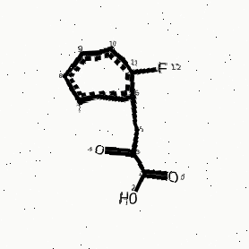 O=C(O)C(=O)Cc1ccccc1F